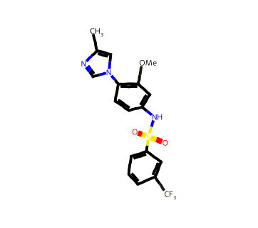 COc1cc(NS(=O)(=O)c2cccc(C(F)(F)F)c2)ccc1-n1cnc(C)c1